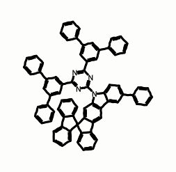 c1ccc(-c2cc(-c3ccccc3)cc(-c3nc(-c4cc(-c5ccccc5)cc(-c5ccccc5)c4)nc(-n4c5ccc(-c6ccccc6)cc5c5cc6c(cc54)C4(c5ccccc5-c5ccccc54)c4ccccc4-6)n3)c2)cc1